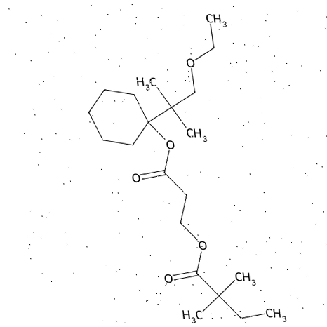 CCOCC(C)(C)C1(OC(=O)CCOC(=O)C(C)(C)CC)CCCCC1